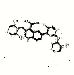 CC(C)c1c(CN2[C@H](C)COC[C@@H]2C)cnc2ccc(-c3nc(N[C@@H]4CCOC[C@@H]4O)ncc3F)cc12